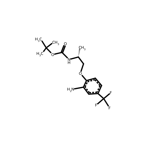 C[C@H](COc1ccc(C(F)(F)F)cc1N)NC(=O)OC(C)(C)C